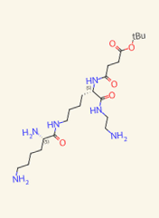 CC(C)(C)OC(=O)CCC(=O)N[C@@H](CCCCNC(=O)[C@@H](N)CCCCN)C(=O)NCCN